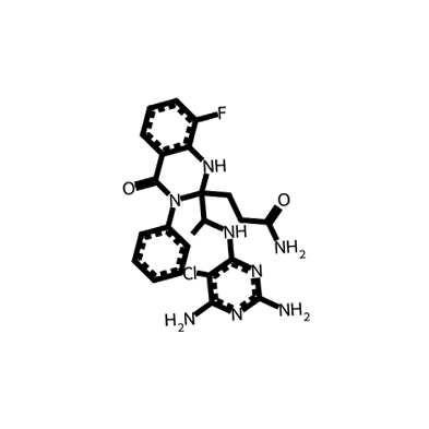 CC(Nc1nc(N)nc(N)c1Cl)C1(CCC(N)=O)Nc2c(F)cccc2C(=O)N1c1ccccc1